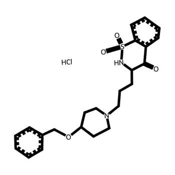 Cl.O=C1c2ccccc2S(=O)(=O)NC1CCCN1CCC(OCc2ccccc2)CC1